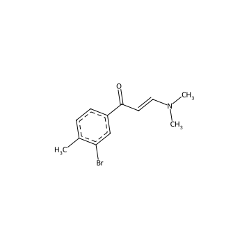 Cc1ccc(C(=O)/C=C/N(C)C)cc1Br